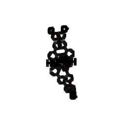 CC[SiH]1[C]2(C(C)=CC3=C2C=CC=CC3c2ccc(-c3ccc(OC)cc3)cc2)[Zr]2([Cl])([Cl])([C]13C(C)=CC1=C3C=CC=CC1c1ccc(-c3ccc(OC)cc3)cc1)[C]1(C(C)=CC3=C1C=CC=CC3c1ccc(-c3ccc(OC)cc3)cc1)[SiH](CC)[C]21C(C)=CC2=C1C=CC=CC2c1ccc(-c2ccc(OC)cc2)cc1